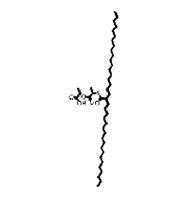 CCC(=O)O.CCCCCCCCCCCCCCCCCCC(CCCCCCCCCCCCCCCCCC)C(=O)SC(C)C(=O)O